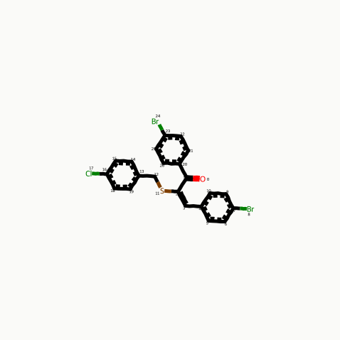 O=C(/C(=C\c1ccc(Br)cc1)SCc1ccc(Cl)cc1)c1ccc(Br)cc1